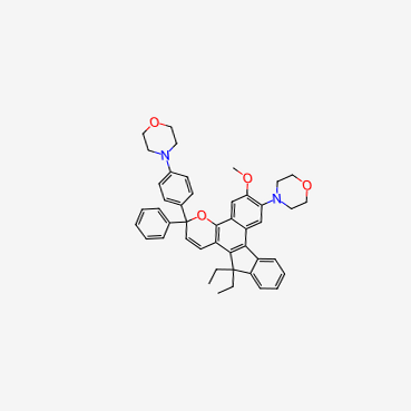 CCC1(CC)c2ccccc2-c2c1c1c(c3cc(OC)c(N4CCOCC4)cc23)OC(c2ccccc2)(c2ccc(N3CCOCC3)cc2)C=C1